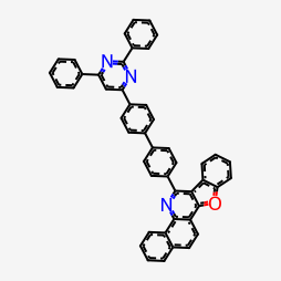 c1ccc(-c2cc(-c3ccc(-c4ccc(-c5nc6c7ccccc7ccc6c6oc7ccccc7c56)cc4)cc3)nc(-c3ccccc3)n2)cc1